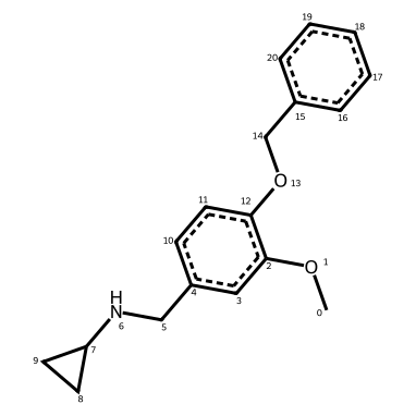 COc1cc(CNC2CC2)ccc1OCc1ccccc1